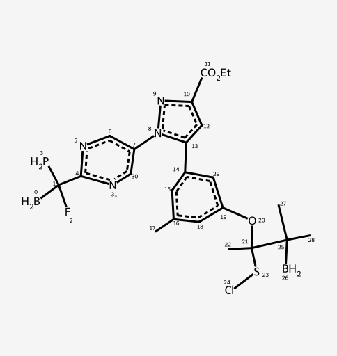 BC(F)(P)c1ncc(-n2nc(C(=O)OCC)cc2-c2cc(C)cc(OC(C)(SCl)C(B)(C)C)c2)cn1